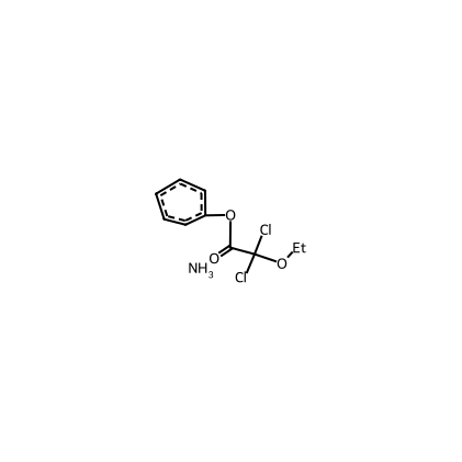 CCOC(Cl)(Cl)C(=O)Oc1ccccc1.N